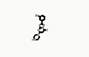 O=c1cc(N2CCNCC2)nc2sc(-c3cccc(Br)c3)nn12